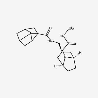 CC(C)(C)NC(=O)CN1[C@@H]2CC[C@H]1C[C@@H](CNC(=O)C13CC4CC(CC1C4)C3)C2